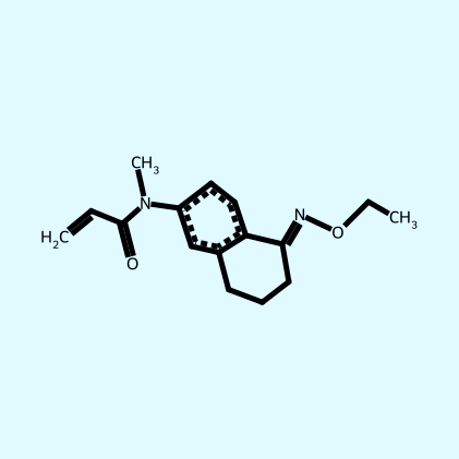 C=CC(=O)N(C)c1ccc2c(c1)CCC/C2=N\OCC